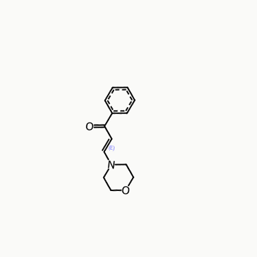 O=C(/C=C/N1CCOCC1)c1ccccc1